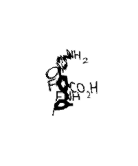 Cc1cc(I)ccc1Nc1c(C(=O)O)cc(C(=O)N2CCN(CCN)CC2)c(F)c1F